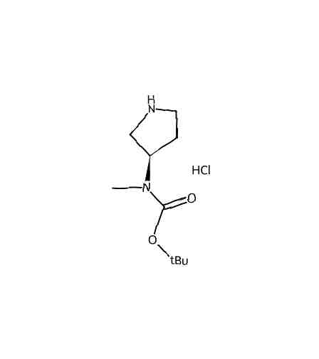 CN(C(=O)OC(C)(C)C)[C@@H]1CCNC1.Cl